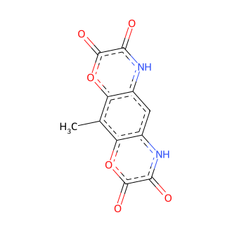 Cc1c2oc(=O)c(=O)[nH]c2cc2[nH]c(=O)c(=O)oc12